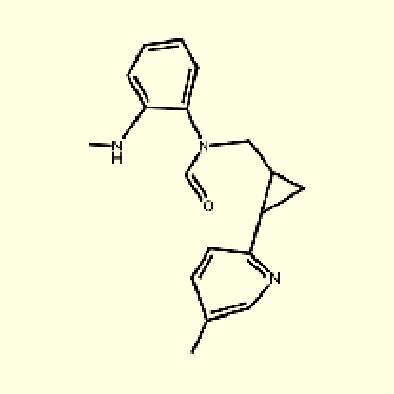 CNc1ccccc1N(C=O)CC1CC1c1ccc(C)cn1